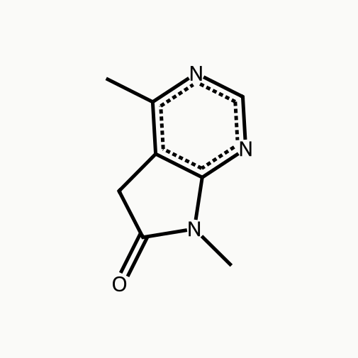 Cc1ncnc2c1CC(=O)N2C